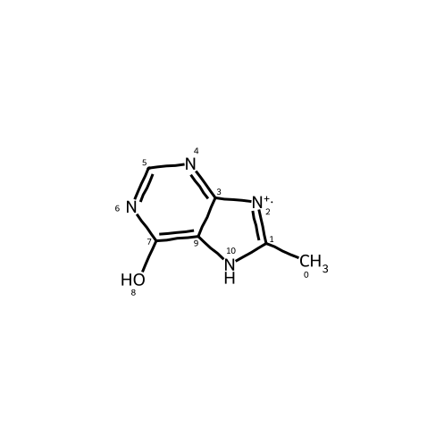 CC1=[N+]c2ncnc(O)c2N1